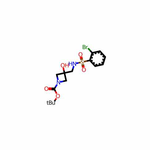 CC(C)(C)OC(=O)N1CC(O)(CNS(=O)(=O)c2ccccc2Br)C1